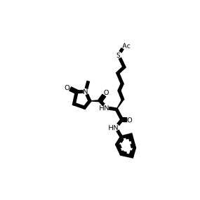 CC(=O)SCCCCC[C@H](NC(=O)[C@H]1CCC(=O)N1C)C(=O)Nc1ccccc1